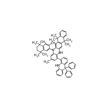 Cc1cc(-c2cccc3c2Nc2ccccc2S3(c2ccccc2)c2ccccc2)c2c(c1)N(c1cc3c(cc1C)C(C)(C)CCC3(C)C)c1cc3c(cc1B2)C(C)(C)c1ccccc1C3(C)C